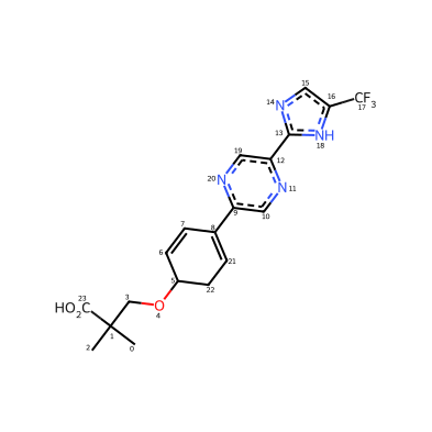 CC(C)(COC1C=CC(c2cnc(-c3ncc(C(F)(F)F)[nH]3)cn2)=CC1)C(=O)O